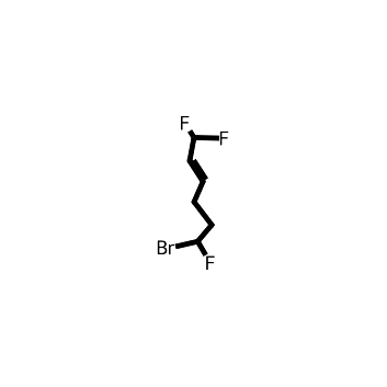 FC(F)C=CCCC(F)Br